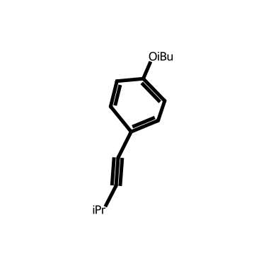 CC(C)C#Cc1ccc(OCC(C)C)cc1